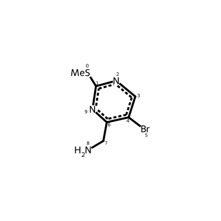 CSc1ncc(Br)c(CN)n1